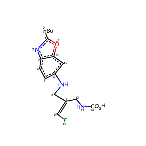 CCCCc1nc2ccc(NCC(=CF)CNC(=O)O)cc2o1